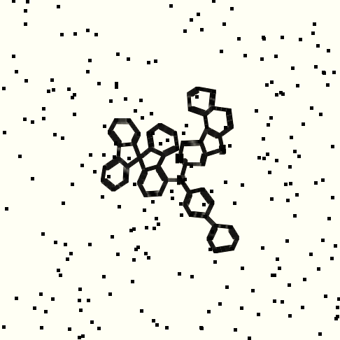 c1ccc(-c2ccc(N(c3cc4sc5ccc6ccccc6c5c4cn3)c3cccc4c3-c3ccccc3C43c4ccccc4-c4ccccc43)cc2)cc1